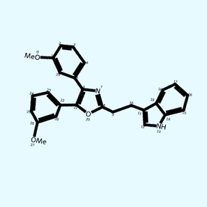 COc1cccc(-c2nc(CCc3c[nH]c4ccccc34)oc2-c2cccc(OC)c2)c1